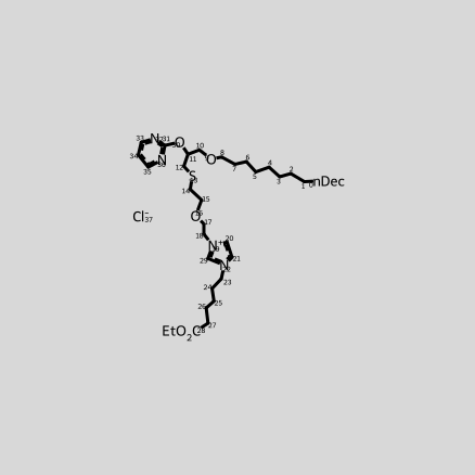 CCCCCCCCCCCCCCCCCCOCC(CSCCOCC[n+]1ccn(CCCCCC(=O)OCC)c1)Oc1ncccn1.[Cl-]